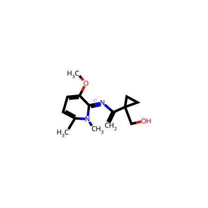 C=C(/N=c1/c(OC)ccc(C)n1C)C1(CO)CC1